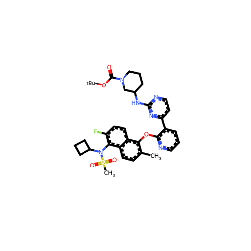 Cc1ccc2c(N(C3CCC3)S(C)(=O)=O)c(F)ccc2c1Oc1ncccc1-c1ccnc(NC2CCCN(C(=O)OC(C)(C)C)C2)n1